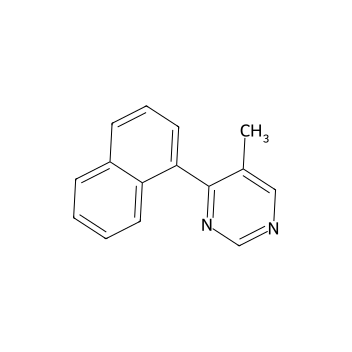 Cc1cncnc1-c1cccc2ccccc12